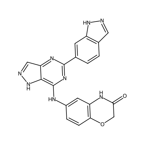 O=C1COc2ccc(Nc3nc(-c4ccc5cn[nH]c5c4)nc4cn[nH]c34)cc2N1